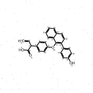 C=CC(C(=O)O)c1ccc(Oc2c(-c3ccc(O)cc3)ccc3ccccc23)cc1